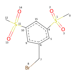 CS(=O)(=O)c1cc(CBr)cc(S(C)(=O)=O)c1